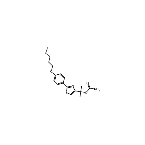 COCCCOc1ccc(-c2nc(C(C)(C)OC(N)=O)cs2)cc1